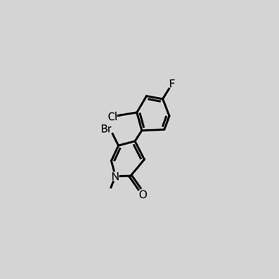 Cn1cc(Br)c(-c2ccc(F)cc2Cl)cc1=O